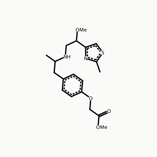 COC(=O)COc1ccc(CC(C)NCC(OC)c2csc(C)n2)cc1